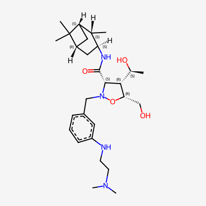 C[C@@H]1[C@@H](NC(=O)[C@@H]2[C@H]([C@H](C)O)[C@H](CO)ON2Cc2cccc(NCCN(C)C)c2)C[C@H]2C[C@@H]1C2(C)C